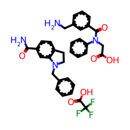 NC(=O)c1ccc2c(c1)N(Cc1ccccc1)CC2.NCc1cccc(C(=O)N(CC(=O)O)c2ccccc2)c1.O=C(O)C(F)(F)F